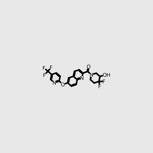 O=C(c1ccc2cc(Oc3ccc(C(F)(F)F)cn3)ccc2n1)N1CCC(F)(F)C(O)C1